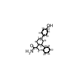 CC(C(N)=O)C1CCN(c2ccc(O)cc2)CC1c1ccccc1